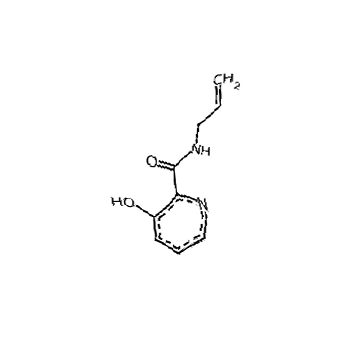 C=CCNC(=O)c1ncccc1O